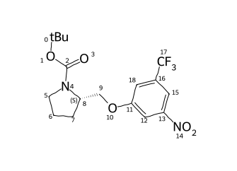 CC(C)(C)OC(=O)N1CCC[C@H]1COc1cc([N+](=O)[O-])cc(C(F)(F)F)c1